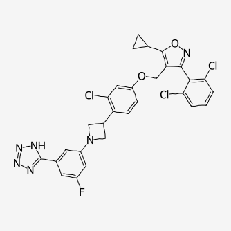 Fc1cc(-c2nnn[nH]2)cc(N2CC(c3ccc(OCc4c(-c5c(Cl)cccc5Cl)noc4C4CC4)cc3Cl)C2)c1